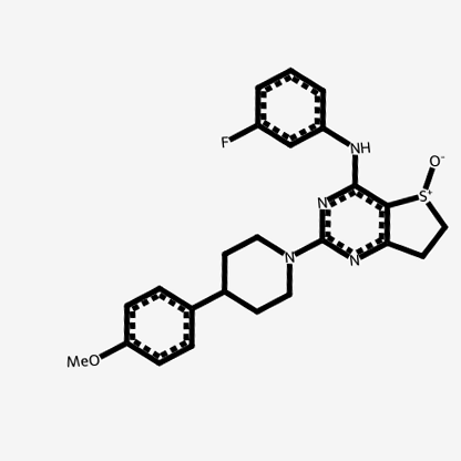 COc1ccc(C2CCN(c3nc4c(c(Nc5cccc(F)c5)n3)[S+]([O-])CC4)CC2)cc1